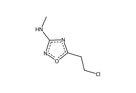 CNc1noc(CCCl)n1